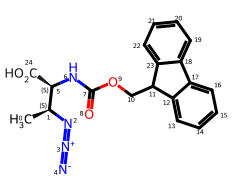 C[C@H](N=[N+]=[N-])[C@H](NC(=O)OCC1c2ccccc2-c2ccccc21)C(=O)O